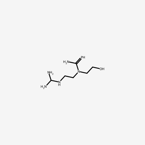 NC(=P)N(CCO)CCNC(N)N